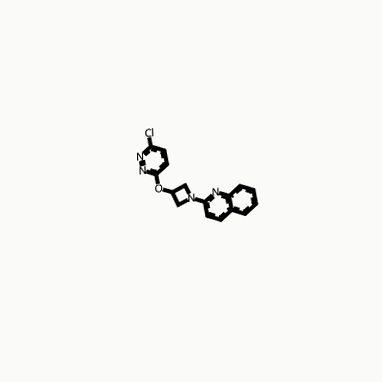 Clc1ccc(OC2CN(c3ccc4ccccc4n3)C2)nn1